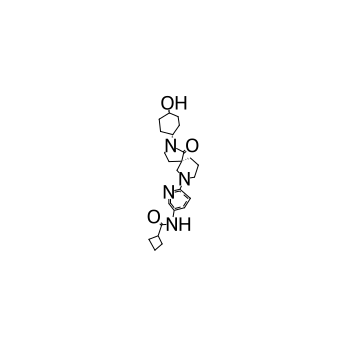 O=C(Nc1ccc(N2CCC[C@@]3(CCN([C@H]4CC[C@H](O)CC4)C3=O)C2)nc1)C1CCC1